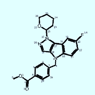 COC(=O)c1ccc(Cn2c3ccc(F)cc3c3c2cnn3C2CCCCO2)cc1